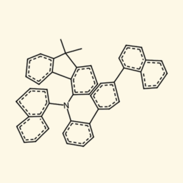 CC1(C)c2ccccc2-c2c(N(c3ccccc3-c3ccc(-c4cccc5ccccc45)cc3)c3cccc4ccccc34)cccc21